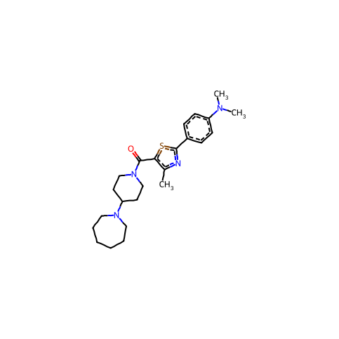 Cc1nc(-c2ccc(N(C)C)cc2)sc1C(=O)N1CCC(N2CCCCCC2)CC1